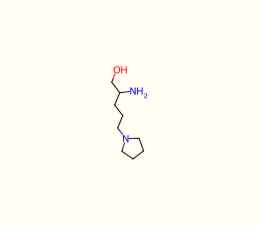 NC(CO)CCCN1CCCC1